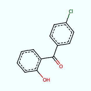 O=C(c1ccc(Cl)cc1)c1ccccc1O